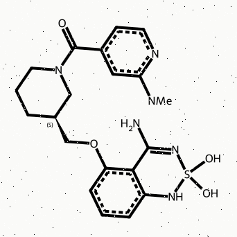 CNc1cc(C(=O)N2CCC[C@H](COc3cccc4c3C(N)=NS(O)(O)N4)C2)ccn1